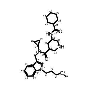 COCCCn1cc(CN(C(=O)C2CNCC(NC(=O)C3CCCCC3)C2)C2CC2)c2ccccc21